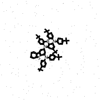 CC(C)(C)c1ccc(N2c3ccc(C(C)(C)C)cc3B3c4cc(C(C)(C)C)ccc4N(c4cc(N(c5ccc(C(C)(C)C)cc5)c5ccc(C(C)(C)C)cc5)c5sc6ccccc6c5c4)c4cc(C(C)(C)C)cc2c43)cc1